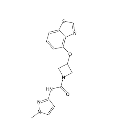 Cn1ccc(NC(=O)N2CC(Oc3cccc4scnc34)C2)n1